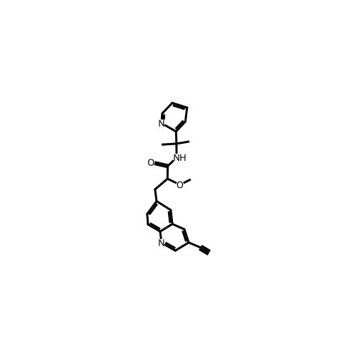 C#Cc1cnc2ccc(CC(OC)C(=O)NC(C)(C)c3ccccn3)cc2c1